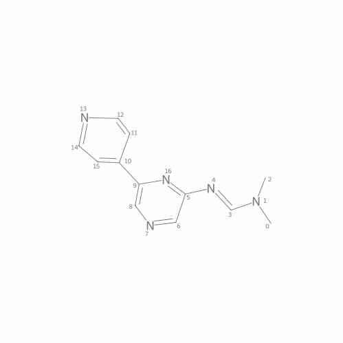 CN(C)/C=N/c1cncc(-c2ccncc2)n1